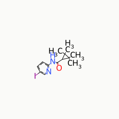 CC1(C)C(C(=O)Nc2ccc(I)cn2)C1(C)C